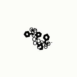 O=C(OC(=O)c1ccccc1OC(c1ccccc1)[N+](=O)[O-])c1ccccc1OC(c1ccccc1)[N+](=O)[O-]